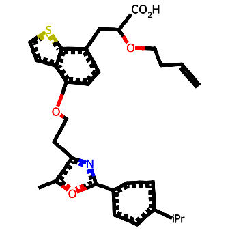 C=CCCOC(Cc1ccc(OCCc2nc(-c3ccc(C(C)C)cc3)oc2C)c2ccsc12)C(=O)O